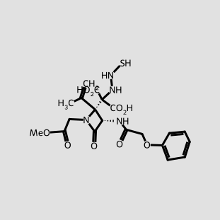 C=C(C)[C@@]1(C(NNS)(C(=O)O)C(=O)O)[C@H](NC(=O)COc2ccccc2)C(=O)N1CC(=O)OC